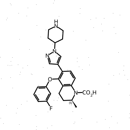 C[C@H]1CCc2c(ccc(-c3cnn(C4CCNCC4)c3)c2Oc2cccc(F)c2)N1C(=O)O